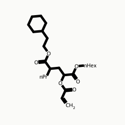 C=CC(=O)OC(CC(CCC)C(=O)OCCC1CCCCC1)C(=O)OCCCCCC